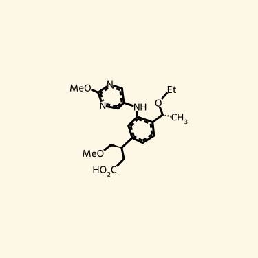 CCO[C@H](C)c1ccc([C@H](COC)CC(=O)O)cc1Nc1cnc(OC)nc1